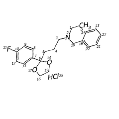 CCN(CCCC1(c2ccc(F)cc2)OCCO1)Cc1ccccc1.Cl